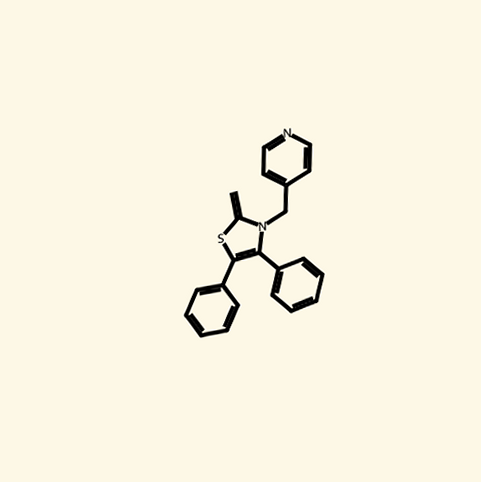 C=C1SC(c2ccccc2)=C(c2ccccc2)N1Cc1ccncc1